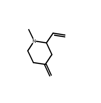 C=CC1CC(=C)CCN1C